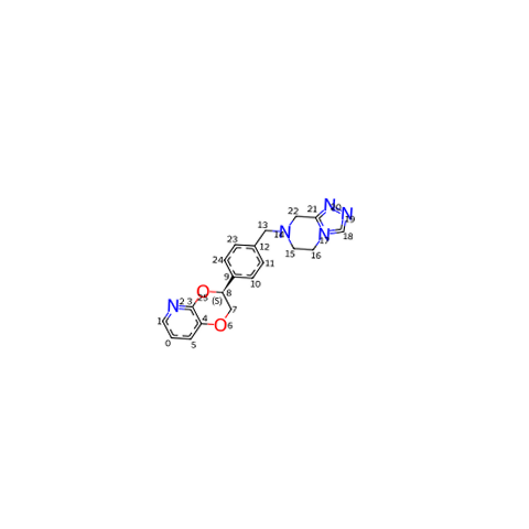 c1cnc2c(c1)OC[C@H](c1ccc(CN3CCn4cnnc4C3)cc1)O2